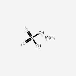 O=S(=O)(O)S.[MgH2]